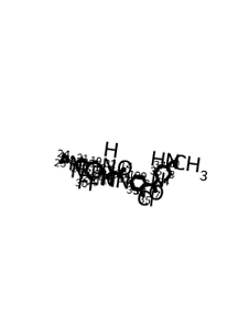 CNC1CCN(C(=O)c2ccc(NC(=O)c3ncc(Cc4cn(C5CC5)nc4C(F)(F)F)[nH]3)cc2Cl)CC1